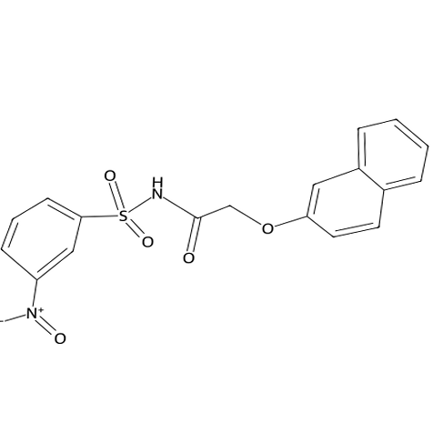 O=C(COc1ccc2ccccc2c1)NS(=O)(=O)c1cccc([N+](=O)[O-])c1